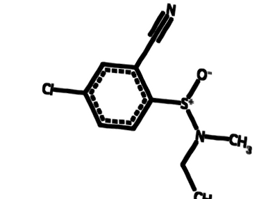 CCN(C)[S+]([O-])c1ccc(Cl)cc1C#N